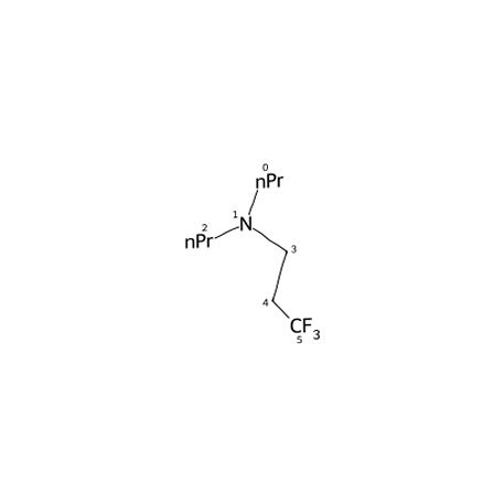 CCCN(CCC)CCC(F)(F)F